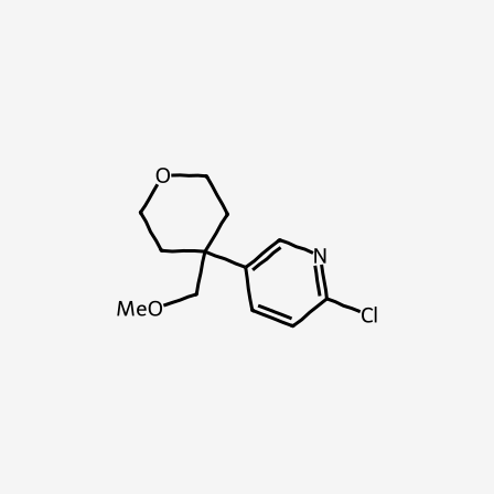 COCC1(c2ccc(Cl)nc2)CCOCC1